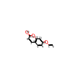 C=COc1ccc2ccc(=O)oc2c1